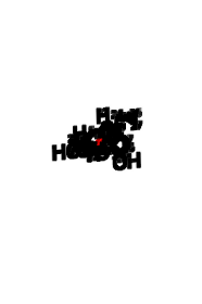 CC(C)(C)[C@@](C)(O)[C@H]1C[C@@]23CC[C@]1(C)[C@@H]1Oc4c(O)ccc5c4[C@@]12CCN(CC1CC1)[C@@H]3C5